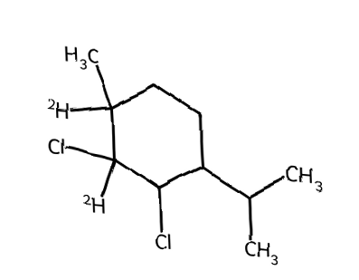 [2H]C1(C)CCC(C(C)C)C(Cl)C1([2H])Cl